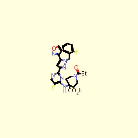 CCC(=O)N1CCC(Nc2nc(-c3cc(-c4ccon4)n(Cc4ccccc4F)n3)ncc2F)(C(=O)O)CC1